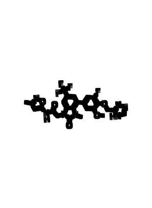 COc1cc(-c2cc(C(F)(F)F)cc3c2n(C)c(=O)n3CC(=O)Nc2cc(C)no2)cc(F)c1OCc1nnc[nH]1